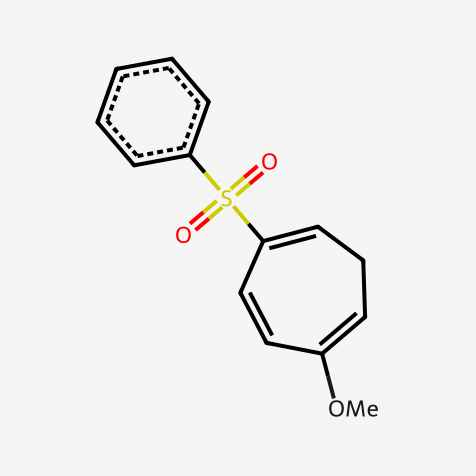 COC1=CCC=C(S(=O)(=O)c2ccccc2)C=C1